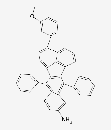 COc1cccc(-c2ccc3c4c(cccc24)-c2c-3c(-c3ccccc3)c3ccc(N)cc3c2-c2ccccc2)c1